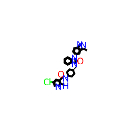 Cc1ncc(Cl)cc1C(=O)N[C@H]1CC[C@H](Cn2c(=O)n(-c3ccc4c(c3)c(C)nn4C)c3ccccc32)CC1